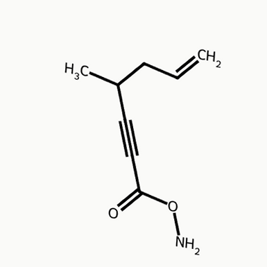 C=CCC(C)C#CC(=O)ON